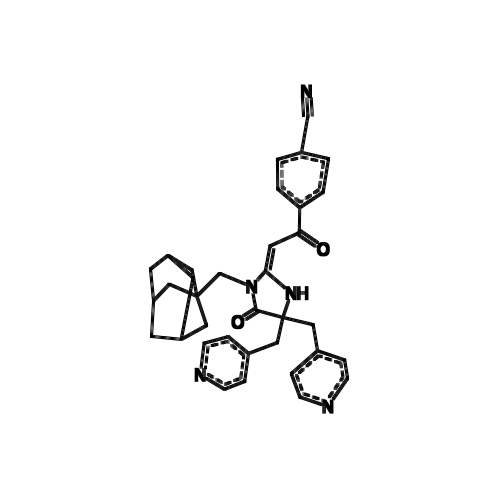 N#Cc1ccc(C(=O)C=C2NC(Cc3ccncc3)(Cc3ccncc3)C(=O)N2CC23CC4CC(CC(C4)C2)C3)cc1